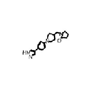 O=C1CCCN1CC1CCN(c2ccc(-c3cn[nH]c3)cc2)CC1